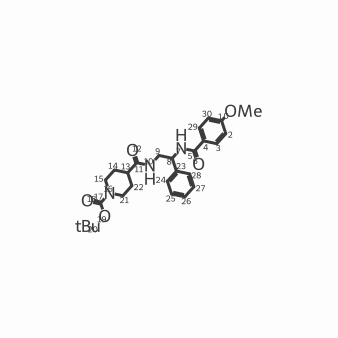 COc1ccc(C(=O)NC(CNC(=O)C2CCN(C(=O)OC(C)(C)C)CC2)c2ccccc2)cc1